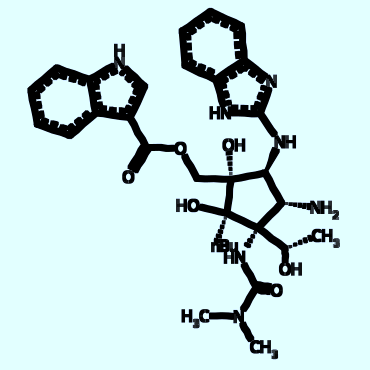 CCCC[C@@]1(O)[C@](NC(=O)N(C)C)([C@H](C)O)[C@@H](N)[C@H](Nc2nc3ccccc3[nH]2)[C@]1(O)COC(=O)c1c[nH]c2ccccc12